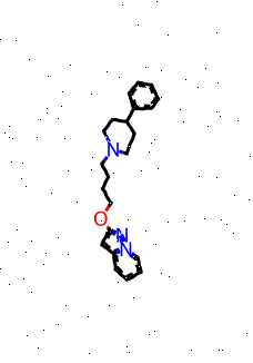 c1ccc(C2CCN(CCCCOc3cc4ccccn4n3)CC2)cc1